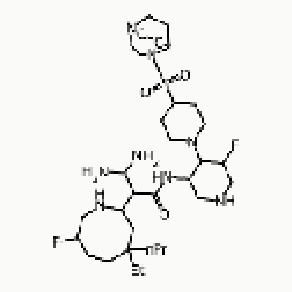 CCCC1(CC)CCC(F)CNC(C(C(=O)NC2CNCC(F)C2N2CCC(S(=O)(=O)N3CCN4CCC3CC4)CC2)C(N)N)C1